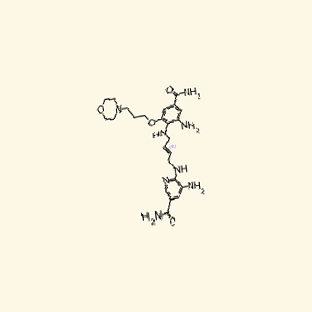 NC(=O)c1cnc(NC/C=C/CNc2c(N)cc(C(N)=O)cc2OCCCN2CCOCC2)c(N)c1